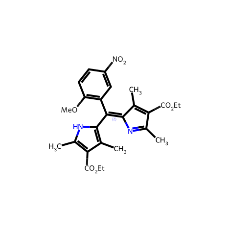 CCOC(=O)C1=C(C)/C(=C(\c2cc([N+](=O)[O-])ccc2OC)c2[nH]c(C)c(C(=O)OCC)c2C)N=C1C